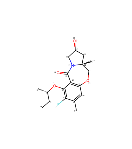 CC[C@H](C)Oc1c(F)c(C)cc2c1C(=O)N1C[C@@H](O)C[C@@H]1CO2